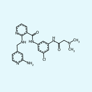 CN(C)CC(=O)Nc1cc(Cl)cc(NC(=O)c2cccnc2NCc2ccnc(N)c2)c1